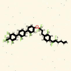 C=CCC/C(F)=C(\F)c1ccc(CCC(F)(F)Oc2ccc(-c3ccc(-c4cc(F)c(C(F)(F)F)c(F)c4)c(F)c3)c(F)c2)c(F)c1